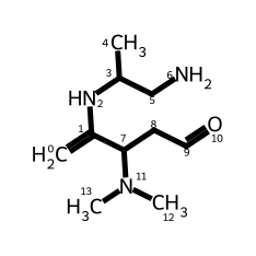 C=C(NC(C)CN)C(CC=O)N(C)C